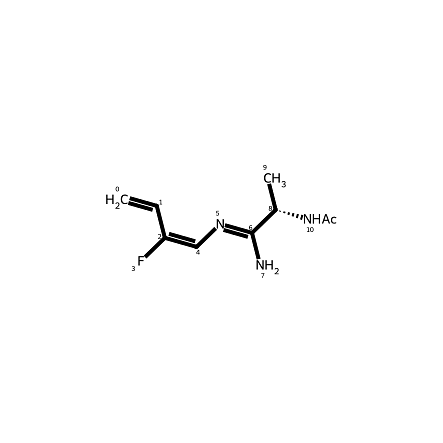 C=C/C(F)=C\N=C(/N)[C@H](C)NC(C)=O